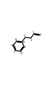 [CH]=CCCc1[c]cccc1